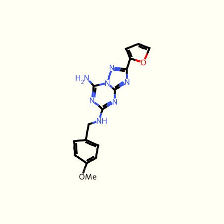 COc1ccc(CNc2nc(N)n3nc(-c4ccco4)nc3n2)cc1